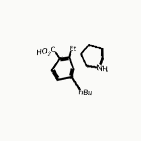 C1CCNCC1.CCCCc1ccc(C(=O)O)c(CC)c1